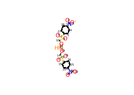 O=[N+]([O-])c1ccc(S(=O)(=O)COPOCS(=O)(=O)c2ccc([N+](=O)[O-])cc2)cc1